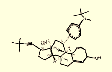 CN(c1ccc([C@H]2C[C@@]3(C)[C@@H](CC[C@@]3(O)C#CC(C)(C)C)[C@@H]3CCC4=CC(O)CC[C@@H]4[C@H]32)cc1)C(C)(C)C